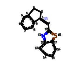 C(=C1\CCc2ccccc21)/c1nc2ccccc2s1